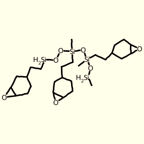 C[SiH2]O[Si](C)(CCC1CCC2OC2C1)O[Si](C)(CCC1CCC2OC2C1)OO[SiH2]CCC1CCC2OC2C1